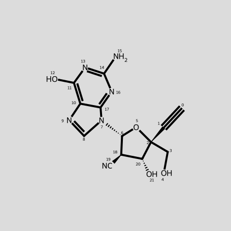 C#C[C@]1(CO)O[C@@H](n2cnc3c(O)nc(N)nc32)[C@H](C#N)[C@H]1O